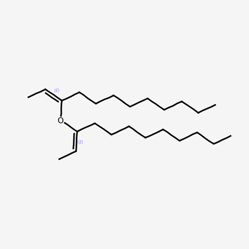 C/C=C(/CCCCCCCCC)O/C(=C\C)CCCCCCCCC